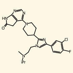 CC(C)N(C)CCn1cc(-c2ccc(F)c(Cl)c2)nc1C1CCN(c2ncnc3c2CC(=O)N3)CC1